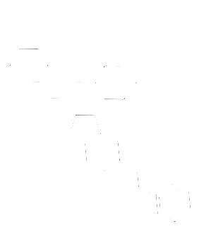 COc1ccc(Oc2cc(C(=O)O)c(C(=O)O)c3c4c([nH]c23)CCC(OCc2ccccc2)C4)cc1